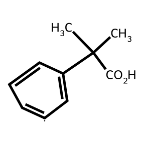 CC(C)(C(=O)O)c1c[c]ccc1